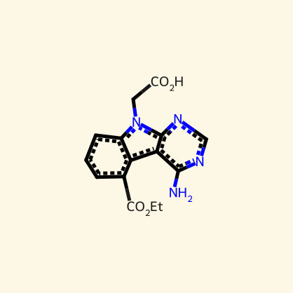 CCOC(=O)c1cccc2c1c1c(N)ncnc1n2CC(=O)O